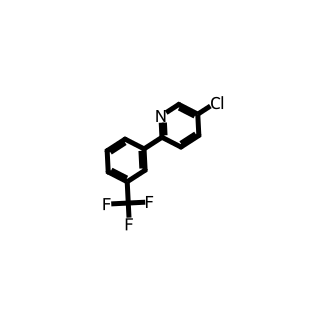 FC(F)(F)c1cccc(-c2ccc(Cl)cn2)c1